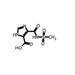 CS(=O)(=O)NC(=O)c1nc[nH]c1C(=O)O